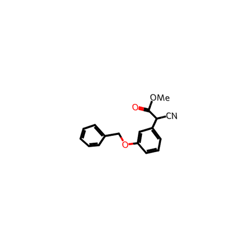 COC(=O)C(C#N)c1cccc(OCc2ccccc2)c1